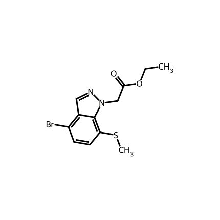 CCOC(=O)Cn1ncc2c(Br)ccc(SC)c21